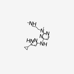 CNCCCN(C)c1nccc(Nc2cc(C3CC3)[nH]n2)n1